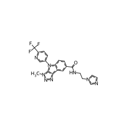 Cn1nnc2c3cc(C(=O)NCCn4ccnc4)ccc3n(-c3ccc(C(F)(F)F)nc3)c21